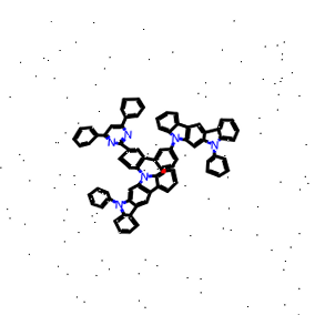 c1ccc(-c2cc(-c3ccccc3)nc(-c3ccc(-n4c5ccccc5c5cc6c7ccccc7n(-c7ccccc7)c6cc54)c(-c4cccc(-n5c6ccccc6c6cc7c8ccccc8n(-c8ccccc8)c7cc65)c4)c3)n2)cc1